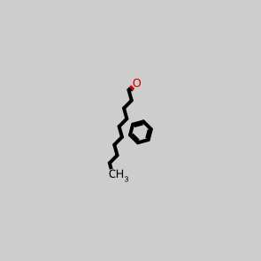 CCCCCCCCCC=O.c1ccccc1